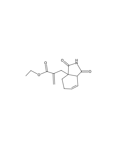 C=C(CC12CCC=CC1C(=O)NC2=O)C(=O)OCC